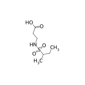 CCC(C)S(=O)(=O)NCCC(=O)O